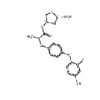 CC(Oc1ccc(Oc2ccc(C#N)cc2F)cc1)C(=O)O[C@H]1CS[C@H](C(=O)O)O1